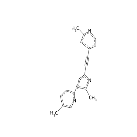 Cc1ccc(-n2cc(C#Cc3ccnc(C)c3)nc2C)nc1